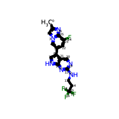 Cc1cn2cc(-c3c[nH]c4nc(NCCC(F)(F)F)ncc34)cc(F)c2n1